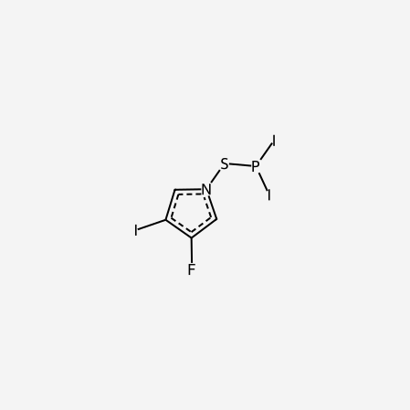 Fc1cn(SP(I)I)cc1I